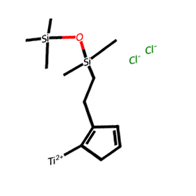 C[Si](C)(C)O[Si](C)(C)CCC1=[C]([Ti+2])CC=C1.[Cl-].[Cl-]